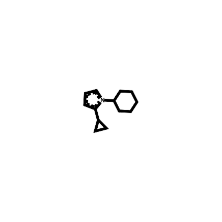 c1cc(C2CC2)n(C2CCCCC2)c1